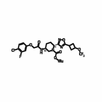 CC(C)(C)OC(=O)N1C[C@@H](NC(=O)COc2ccc(Cl)c(F)c2)CC[C@@H]1c1noc(C2CC(OC(F)(F)F)C2)n1